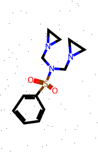 O=S(=O)(c1ccccc1)N(CN1CC1)CN1CC1